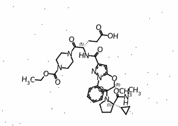 CCOC(=O)N1CCN(C(=O)[C@H](CCC(=O)O)NC(=O)c2cc(O[C@H](C)C(=O)N3CCC[C@@]3(C(=O)NC)C3CC3)n(-c3ccccc3)n2)CC1